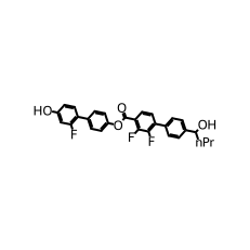 CCCC(O)c1ccc(-c2ccc(C(=O)Oc3ccc(-c4ccc(O)cc4F)cc3)c(F)c2F)cc1